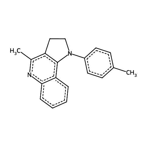 Cc1ccc(N2CCc3c(C)nc4ccccc4c32)cc1